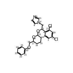 Clc1ccc(C(Cn2ccnc2)OC2CCCC(COc3ccccc3)O2)c(Cl)c1